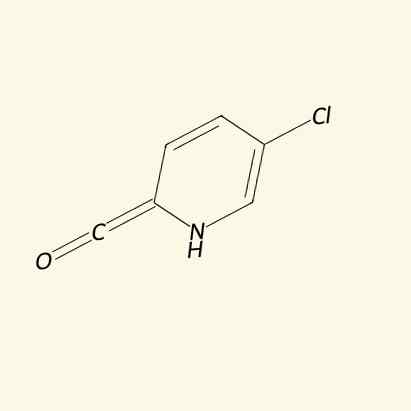 O=C=C1C=CC(Cl)=CN1